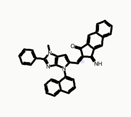 Cn1c(-c2ccccc2)nc2c1cc(/C=C1/C(=N)c3cc4ccccc4cc3C1=O)n2-c1cccc2ccccc12